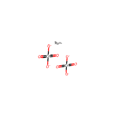 [O]=[Cr](=[O])([O-])[O-].[O]=[Cr](=[O])([O-])[O-].[Ru+4]